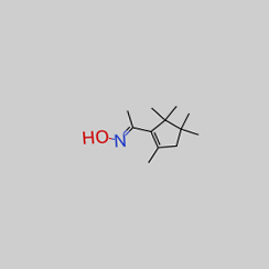 CC(=NO)C1=C(C)CC(C)(C)C1(C)C